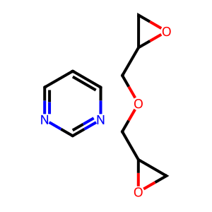 C(OCC1CO1)C1CO1.c1cncnc1